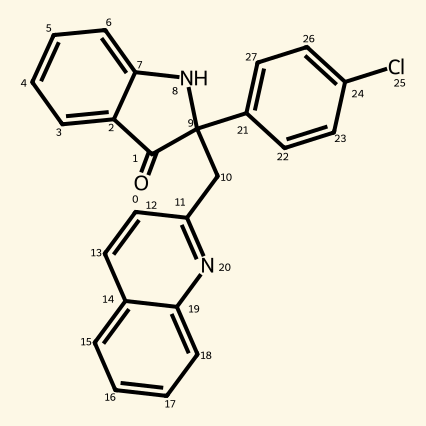 O=C1c2ccccc2NC1(Cc1ccc2ccccc2n1)c1ccc(Cl)cc1